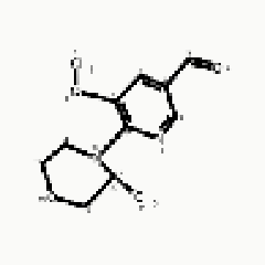 COc1cc(C=O)cnc1N1CCOC[C@@H]1C